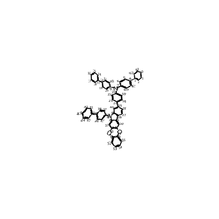 c1ccc(-c2ccc(N(c3ccc(-c4ccccc4)cc3)c3ccc(-c4ccc5c6cc7c(cc6n(-c6ccc(-c8ccccc8)cc6)c5c4)Oc4ccccc4O7)cc3)cc2)cc1